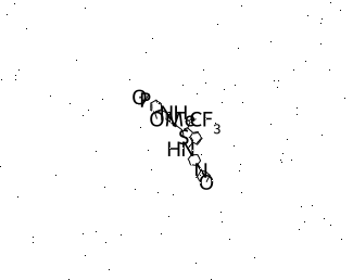 COc1cc(P(C)(C)=O)ccc1NCC#Cc1sc2c(NC3CCC(N4CCOCC4)CC3)cccc2c1CC(F)(F)F